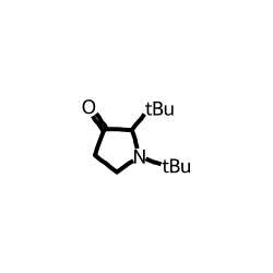 CC(C)(C)C1C(=O)CCN1C(C)(C)C